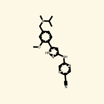 COc1cc(CN(C)C(C)C)ccc1-c1cc(Nc2cnc(C#N)cn2)n[nH]1